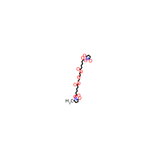 C=C1CCC(=O)N1OC(=O)CCCCC(=O)OCCOCCOC(=O)CCCCC(=O)ON1C(=O)CCC1=O